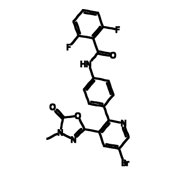 Cn1nc(-c2cc(Br)cnc2-c2ccc(NC(=O)c3c(F)cccc3F)cc2)oc1=O